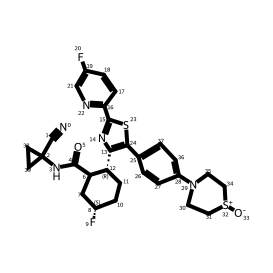 N#CC1(NC(=O)C2C[C@@H](F)CC[C@H]2c2nc(-c3ccc(F)cn3)sc2-c2ccc(N3CC[S+]([O-])CC3)cc2)CC1